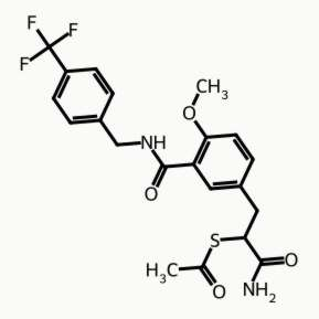 COc1ccc(CC(SC(C)=O)C(N)=O)cc1C(=O)NCc1ccc(C(F)(F)F)cc1